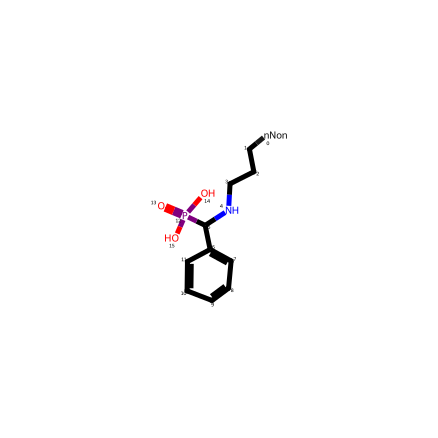 CCCCCCCCCCCCNC(c1ccccc1)P(=O)(O)O